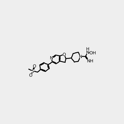 CS(=O)(=O)Cc1ccc(-c2cc3c(cn2)OC(C2CCN(C(=N)NO)CC2)C3)cc1